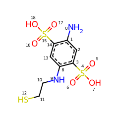 Nc1cc(S(=O)(=O)O)c(NCCS)cc1S(=O)(=O)O